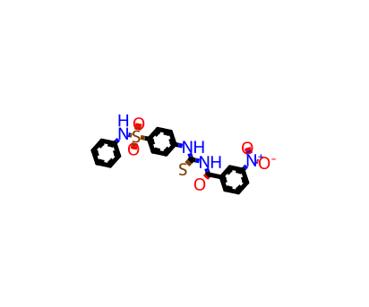 O=C(NC(=S)Nc1ccc(S(=O)(=O)Nc2ccccc2)cc1)c1cccc([N+](=O)[O-])c1